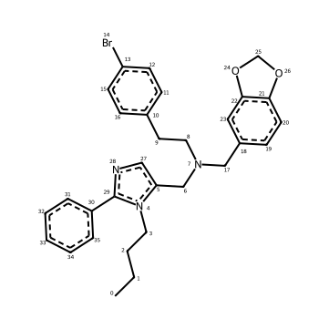 CCCCn1c(CN(CCc2ccc(Br)cc2)Cc2ccc3c(c2)OCO3)cnc1-c1ccccc1